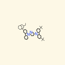 CCC1CC2CCCC(c3ccc4c(c3)c3ccccc3n4-c3ccc(-n4c5ccc(C(C)(C)C)cc5c5cc(C(C)(C)C)ccc54)cn3)(C1)C2